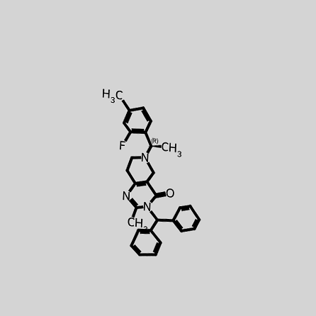 Cc1ccc([C@@H](C)N2CCc3nc(C)n(C(c4ccccc4)c4ccccc4)c(=O)c3C2)c(F)c1